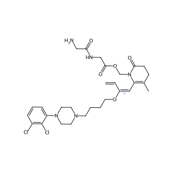 C=C/C(=C\C1=C(C)CCC(=O)N1COC(=O)CNC(=O)CN)OCCCCN1CCN(c2cccc(Cl)c2Cl)CC1